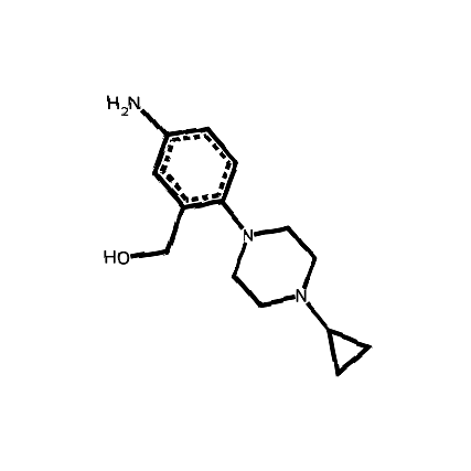 Nc1ccc(N2CCN(C3CC3)CC2)c(CO)c1